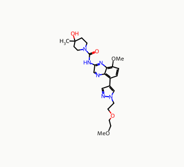 COCCOCCn1cc(-c2ccc(OC)c3nc(NC(=O)N4CCC(C)(O)CC4)cnc23)cn1